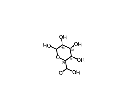 [O]C(O)[C@H]1OC(O)[C@H](O)[C@@H](O)[C@H]1O